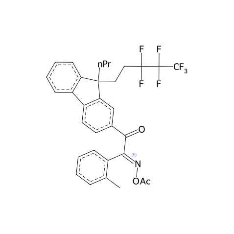 CCCC1(CCC(F)(F)C(F)(F)C(F)(F)F)c2ccccc2-c2ccc(C(=O)/C(=N/OC(C)=O)c3ccccc3C)cc21